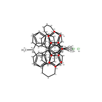 C[SiH]1C2=CC3=C(CCCC3)[CH]2[Zr+2]234([CH]5C1=CC1=C5CCCC1)([CH]1C(=CC5=C1CCCC5)[SiH](C)C1=CC5=C(CCCC5)[CH]12)([CH]1C(=CC2=C1CCCC2)[SiH](C)C1=CC2=C(CCCC2)[CH]13)[CH]1C(=CC2=C1CCCC2)[SiH](C)C1=CC2=C(CCCC2)[CH]14.[Cl-].[Cl-]